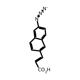 [N-]=[N+]=Nc1ccc2cc(/C=C/C(=O)O)ccc2c1